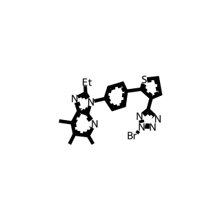 CCc1nc2c(C)c(C)c(C)nc2n1-c1ccc(-c2sccc2-c2nnn(Br)n2)cc1